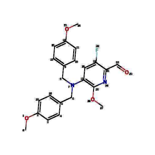 COc1ccc(CN(Cc2ccc(OC)cc2)c2cc(F)c(C=O)nc2OC)cc1